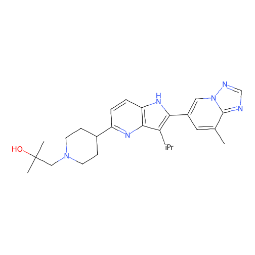 Cc1cc(-c2[nH]c3ccc(C4CCN(CC(C)(C)O)CC4)nc3c2C(C)C)cn2ncnc12